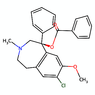 COc1cc2c(cc1Cl)CCN(C)C[C@]2(OC(=O)c1ccccc1)c1ccccc1